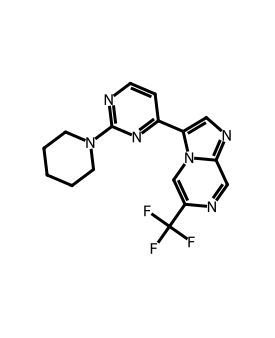 FC(F)(F)c1cn2c(-c3ccnc(N4CCCCC4)n3)cnc2cn1